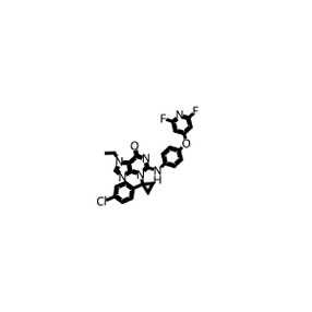 CCn1cnc2c1c(=O)nc(Nc1ccc(Oc3cc(F)nc(F)c3)cc1)n2C1(c2ccc(Cl)cc2)CC1